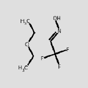 CCOCC.ON=CC(F)(F)F